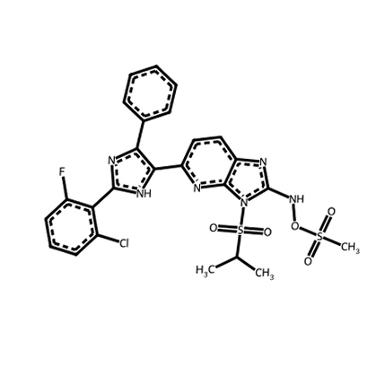 CC(C)S(=O)(=O)n1c(NOS(C)(=O)=O)nc2ccc(-c3[nH]c(-c4c(F)cccc4Cl)nc3-c3ccccc3)nc21